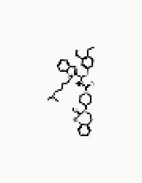 CCc1ccc(CC(NC(=O)N2CCC(N3CCc4ccccc4NC3=O)CC2)c2nc3ccccc3n2CCCCN(C)C)cc1CC